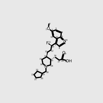 COc1ccc2nccc([C@H](F)CC[C@@H]3CCN(CC4CCCC4)C[C@H]3CCC(=O)O)c2c1